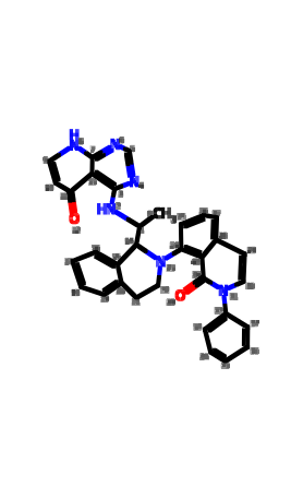 CC(Nc1ncnc2[nH]ccc(=O)c12)C1c2ccccc2CCN1c1cccc2ccn(-c3ccccc3)c(=O)c12